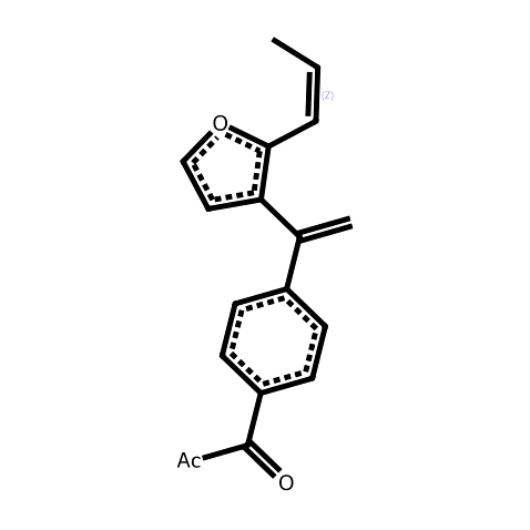 C=C(c1ccc(C(=O)C(C)=O)cc1)c1ccoc1/C=C\C